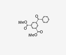 COC(=O)c1cc(C(=O)OC)cc(C(=O)c2ccccc2)c1